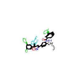 Cc1ccc(C2=NOC(c3cc(Cl)cc(Cl)c3)(C(F)(F)F)C2)cc1NC(=O)c1cccc(Cl)c1